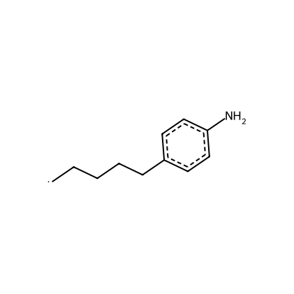 [CH2]CCCCc1ccc(N)cc1